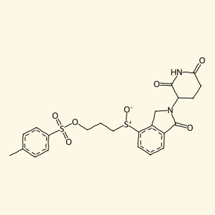 Cc1ccc(S(=O)(=O)OCCC[S+]([O-])c2cccc3c2CN(C2CCC(=O)NC2=O)C3=O)cc1